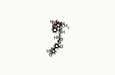 COC(=O)C1=C(C)NC(C)=C(OCNCCNC(=O)COc2ccc(C3=NNC(=O)CC3)cc2Cl)C1c1ccccc1Cl